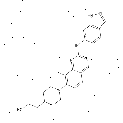 Cc1c(N2CCC(CCO)CC2)ccc2cnc(Nc3ccc4cn[nH]c4c3)nc12